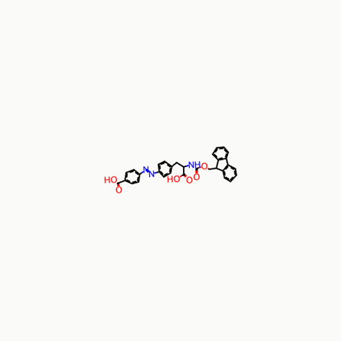 O=C(NC(Cc1ccc(N=Nc2ccc(C(=O)O)cc2)cc1)C(=O)O)OCC1c2ccccc2-c2ccccc21